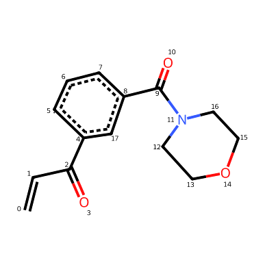 C=CC(=O)c1[c]ccc(C(=O)N2CCOCC2)c1